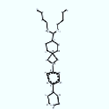 CCCCOC(OCCCC)C1CCC2(CC1)CN(c1ccc(C3CCNCC3)cc1)C2